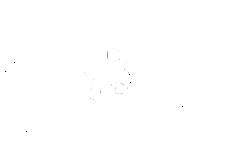 COc1ccc(C(=O)N(CCC(C)C)Cc2nc(C)c(C)n2Cc2ccccc2NC=O)c(Cl)c1OC